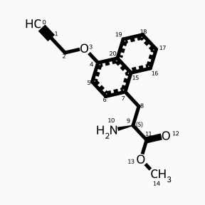 C#CCOc1ccc(C[C@H](N)C(=O)OC)c2ccccc12